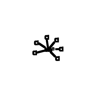 [Cl][Mo-2]([Cl])([Cl])([Cl])([Cl])[Cl]